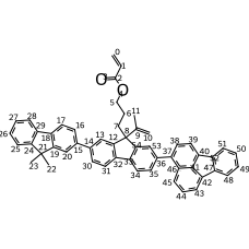 C=CC(=O)OCCCC1(C(=C)C)c2cc(-c3ccc4c(c3)C(C)(C)c3ccccc3-4)ccc2-c2ccc(-c3ccc4c5c(cccc35)-c3ccccc3-4)cc21